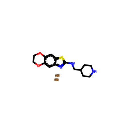 Br.Br.c1c2c(cc3sc(NCC4CCNCC4)nc13)OCCO2